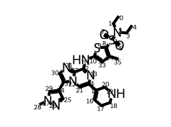 CCN(CC)S(=O)(=O)c1sc(Nc2nc(C3=CCCNC3)cn3c(-c4cnn(C)c4)cnc23)cc1C